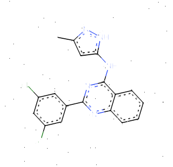 Cc1cc(Nc2nc(-c3cc(Cl)cc(Cl)c3)nc3ccccc23)[nH]n1